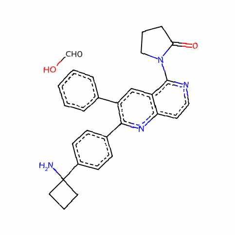 NC1(c2ccc(-c3nc4ccnc(N5CCCC5=O)c4cc3-c3ccccc3)cc2)CCC1.O=CO